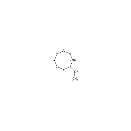 COC1CCCCCCN1